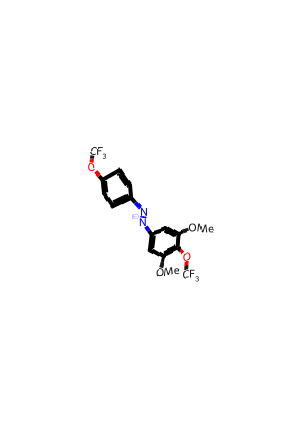 COc1cc(/N=N/c2c[c]c(OC(F)(F)F)cc2)cc(OC)c1OC(F)(F)F